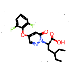 CCC(CC)CC(C(=O)O)n1ncc(Oc2c(F)cccc2F)cc1=O